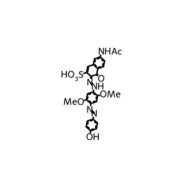 COc1cc(N/N=C2\C(=O)c3ccc(NC(C)=O)cc3C=C2S(=O)(=O)O)c(OC)cc1/N=N/c1ccc(O)cc1